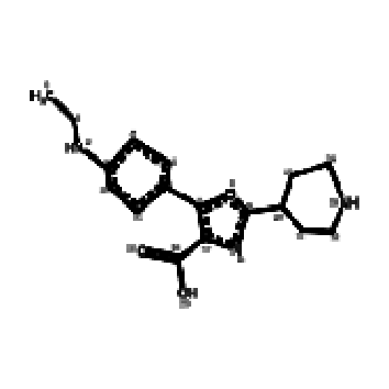 CCNc1ccc(-c2oc(C3CCNCC3)nc2C(=O)O)cc1